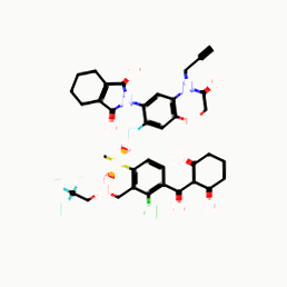 C#CCN1C(=O)COc2cc(F)c(N3C(=O)C4=C(CCCC4)C3=O)cc21.CS(=O)(=O)c1ccc(C(=O)C2C(=O)CCCC2=O)c(Cl)c1COCC(F)(F)F